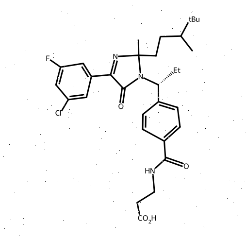 CC[C@H](c1ccc(C(=O)NCCC(=O)O)cc1)N1C(=O)C(c2cc(F)cc(Cl)c2)=NC1(C)CCC(C)C(C)(C)C